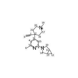 C#CC1(c2cc(C)nc(N3CC4CC4C3)c2)CCN(C)CC1